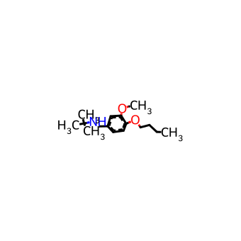 CCCCOc1ccc(CNC(C)(C)C)cc1OC